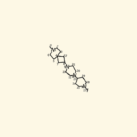 CN1CCC2(CC1)CC(N1CCN(C3CCN(I)CC3)CC1)C2